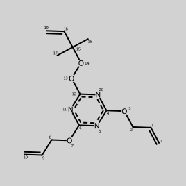 C=CCOc1nc(OCC=C)nc(OOC(C)(C)C=C)n1